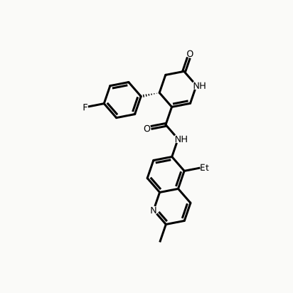 CCc1c(NC(=O)C2=CNC(=O)C[C@H]2c2ccc(F)cc2)ccc2nc(C)ccc12